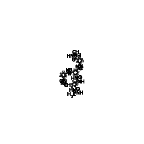 CC(=N)NC(=O)c1cccc(C(=N)NC(=O)c2cc(-c3nc(-c4cccc(C(=O)NC(C)=N)c4)no3)cc(-c3nc(-c4cccc(-c5nc(C)no5)c4)no3)c2)c1